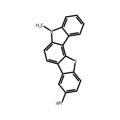 CCCc1ccc2sc3c(ccc4c3c3ccccc3n4C)c2c1